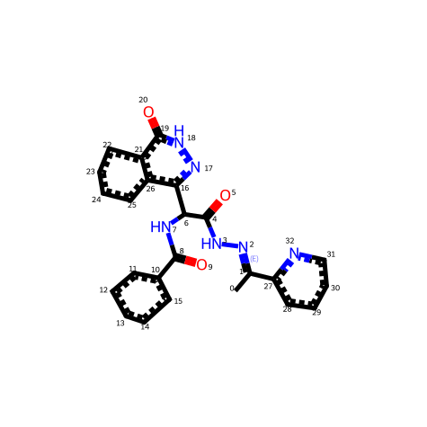 C/C(=N\NC(=O)C(NC(=O)c1ccccc1)c1n[nH]c(=O)c2ccccc12)c1ccccn1